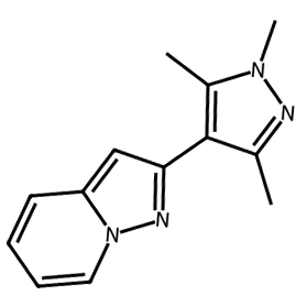 Cc1nn(C)c(C)c1-c1cc2ccccn2n1